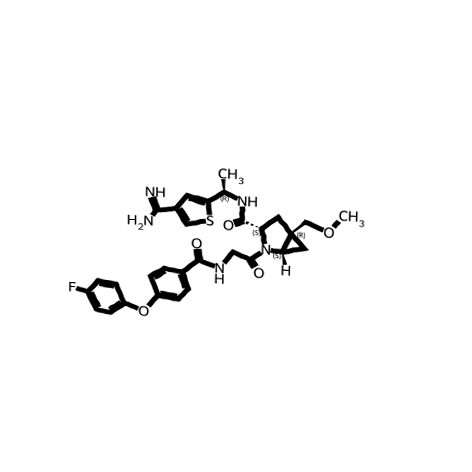 COC[C@@]12C[C@@H]1N(C(=O)CNC(=O)c1ccc(Oc3ccc(F)cc3)cc1)[C@H](C(=O)N[C@H](C)c1cc(C(=N)N)cs1)C2